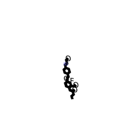 CCCc1cc2ccc(OCC3CCC(/C=C/COC)CC3)c(F)c2c(=O)o1